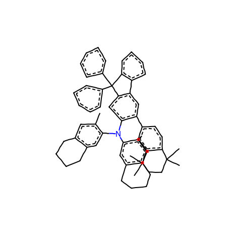 Cc1cc2c(cc1N(c1cc3c(cc1C)CCCC3)c1cc3c(cc1-c1ccc4c(c1)C(C)(C)CCC4(C)C)-c1ccccc1C3(c1ccccc1)c1ccccc1)CCCC2